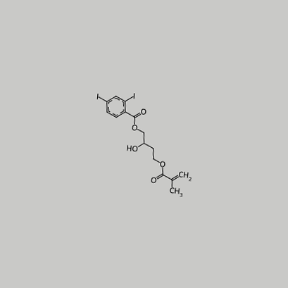 C=C(C)C(=O)OCCC(O)COC(=O)c1ccc(I)cc1I